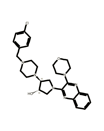 O[C@H]1CN(c2nc3ccccc3nc2N2CCOCC2)C[C@@H]1N1CCN(Cc2ccc(Cl)cc2)CC1